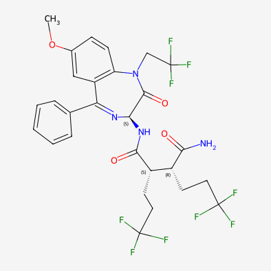 COc1ccc2c(c1)C(c1ccccc1)=N[C@H](NC(=O)[C@@H](CCC(F)(F)F)[C@@H](CCC(F)(F)F)C(N)=O)C(=O)N2CC(F)(F)F